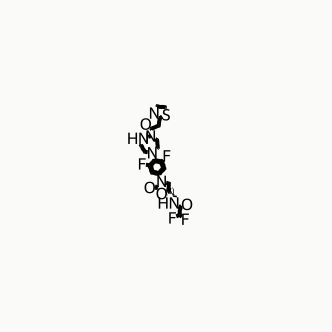 O=C(NC[C@H]1CN(c2cc(F)c(N3CCNN(C(=O)CC4=NCCS4)CC3)c(F)c2)C(=O)O1)C(F)F